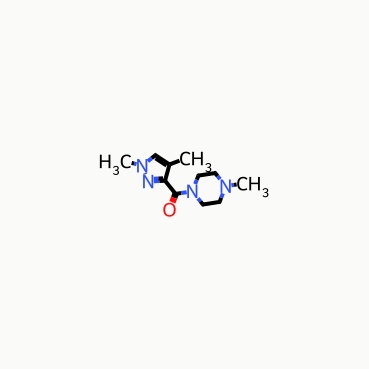 Cc1cn(C)nc1C(=O)N1CCN(C)CC1